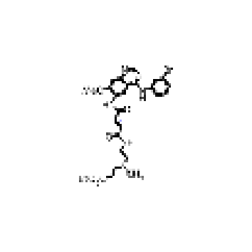 CCOC(=O)CCN(C)CCNC(=O)/C=C/C(=O)Nc1cc2c(Nc3cccc(Br)c3)ncnc2cc1OC